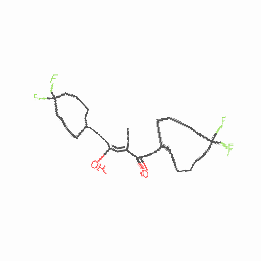 C/C(C(=O)C1CCC(F)(F)CC1)=C(/O)C1CCC(F)(F)CC1